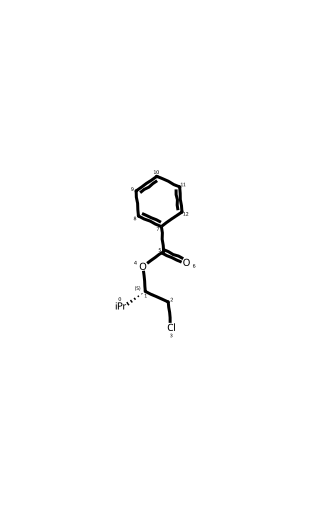 CC(C)[C@@H](CCl)OC(=O)c1ccccc1